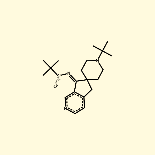 CC(C)(C)N1CCC2(CC1)Cc1ccncc1C2=N[S@+]([O-])C(C)(C)C